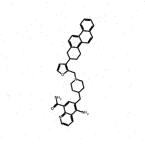 NC(=O)c1cc(CC2CCN(Cc3occc3C3CCc4c(ccc5c4ccc4ccccc45)C3)CC2)c(N)c2cccnc12